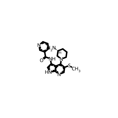 CSc1cnc2[nH]cc(NC(=O)c3cccnc3)c2c1N1CCC[C@@H](N)C1